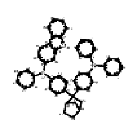 c1ccc(N(c2ccccc2)c2ccc(C3(c4ccc(N(c5ccccc5)c5ccc6c(c5)oc5ccccc56)cc4)CC4CCC3C4)cc2)cc1